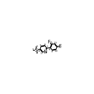 C[Si](C)(C)c1ccc(-c2ccc(F)cc2F)nc1